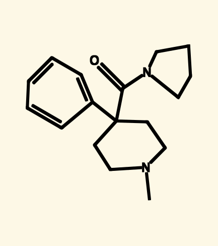 CN1CCC(C(=O)N2CCCC2)(c2ccccc2)CC1